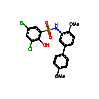 COc1ccc(-c2ccc(OC)c(NS(=O)(=O)c3cc(Cl)cc(Cl)c3O)c2)cc1